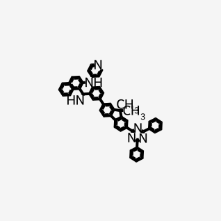 CC1(C)c2cc(-c3cccc(C(=N)c4c(Nc5ccncc5)ccc5ccccc45)c3)ccc2-c2ccc(-c3nc(-c4ccccc4)nc(-c4ccccc4)n3)cc21